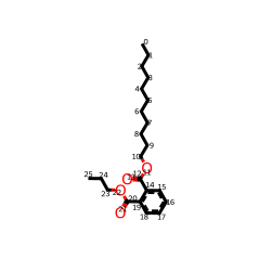 CCCCCCCCCCCOC(=O)c1ccccc1C(=O)OCCC